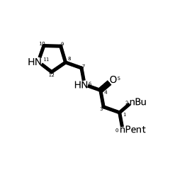 CCCCCC(CCCC)CC(=O)NCC1CCNC1